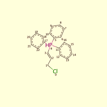 ClCC=C[PH](c1ccccc1)(c1ccccc1)c1ccccc1